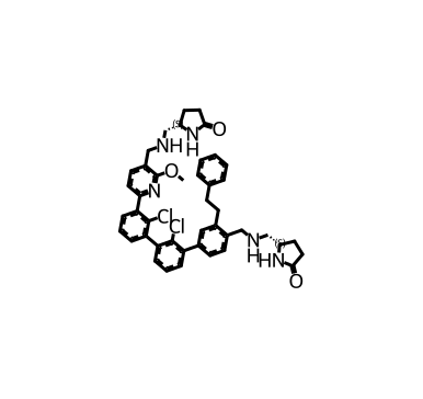 COc1nc(-c2cccc(-c3cccc(-c4ccc(CNC[C@@H]5CCC(=O)N5)c(CCc5ccccc5)c4)c3Cl)c2Cl)ccc1CNC[C@@H]1CCC(=O)N1